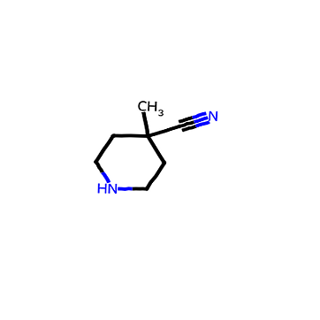 CC1(C#N)CCNCC1